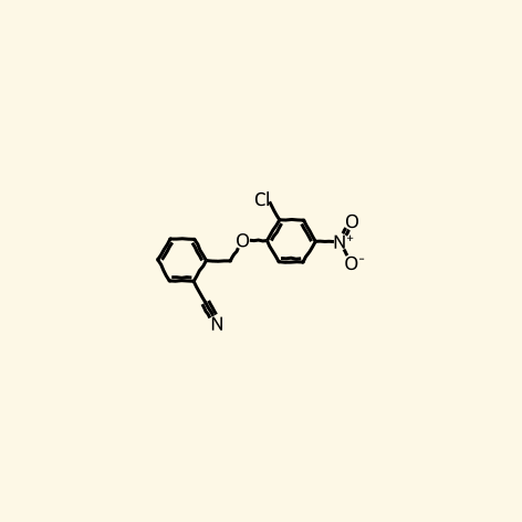 N#Cc1ccccc1COc1ccc([N+](=O)[O-])cc1Cl